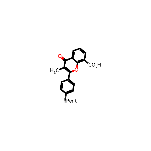 CCCCCc1ccc(-c2oc3c(C(=O)O)cccc3c(=O)c2C)cc1